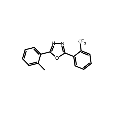 Cc1ccccc1-c1nnc(-c2ccccc2C(F)(F)F)o1